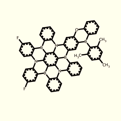 Cc1cc(C)c(B2c3ccccc3Oc3cc4c(cc32)B2c3ccccc3N3c5ccccc5B5c6cc(F)ccc6N6c7ccc(F)cc7B7c8ccccc8N4c4c2c3c5c6c47)c(C)c1